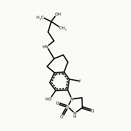 CC(C)(O)CCNC1CCc2c(cc(O)c(N3CC(=O)NS3(=O)=O)c2F)C1